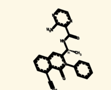 C#Cc1cccc2cc([C@@H](C)NC(=O)c3nccnc3N)n(-c3ccccc3)c(=O)c12